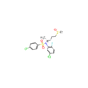 CC[S+]([O-])CCC[C@@H](C)N(c1cc(Cl)ccc1F)S(=O)(=O)c1ccc(Cl)cc1